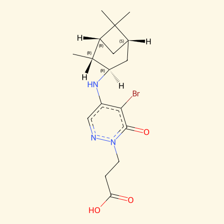 C[C@@H]1[C@H]2C[C@@H](C[C@H]1Nc1cnn(CCC(=O)O)c(=O)c1Br)C2(C)C